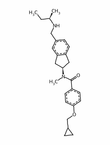 CC[C@@H](C)NCc1ccc2c(c1)C[C@H](N(C)C(=O)c1ccc(OCC3CC3)cc1)C2